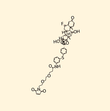 C[C@]12C=CC(=O)C=C1[C@@H](F)C[C@@H]1C2[C@@H](O)C[C@@]2(C)[C@H]1C[C@H]1O[C@@H](c3ccc(Sc4cccc(NC(=O)CCOCCOCCN5C(=O)C=CC5=O)c4)cc3)O[C@]12C(=O)CO